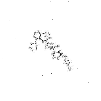 Cc1cccc(C2CCCCC2)c1OC1(C(=O)NS(=O)(=O)c2cccc(N[C@H]3C[C@H](O)C3)n2)CC1